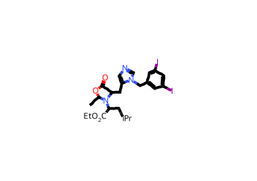 CCOC(=O)C(CC(C)C)N1C(C)OC(=O)C1Cc1cncn1Cc1cc(I)cc(I)c1